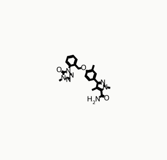 Cc1cc(-c2nn(C)c(C(N)=O)c2C)ccc1OCc1ccccc1-n1nnn(C)c1=O